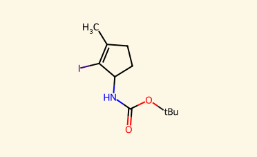 CC1=C(I)C(NC(=O)OC(C)(C)C)CC1